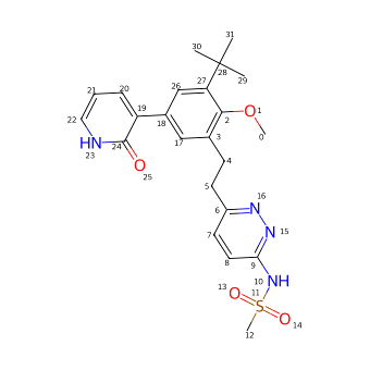 COc1c(CCc2ccc(NS(C)(=O)=O)nn2)cc(-c2ccc[nH]c2=O)cc1C(C)(C)C